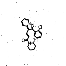 CCC1CCCCN1C(=O)/C=C/c1c(-c2ccccc2Cl)nn2ccccc12